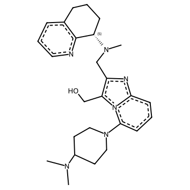 CN(C)C1CCN(c2cccc3nc(CN(C)[C@H]4CCCc5cccnc54)c(CO)n23)CC1